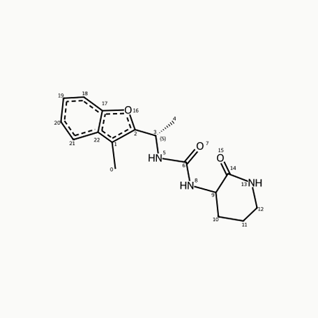 Cc1c([C@H](C)NC(=O)NC2CCCNC2=O)oc2ccccc12